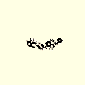 C=C1c2c(ccc(Sc3cnc(N4CCC5(CCC(C)C5N)CC4)cn3)c2Cl)N=CN1CC1=CCC=C1